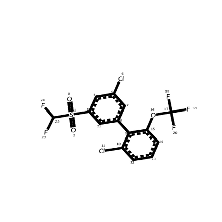 O=S(=O)(c1cc(Cl)cc(-c2c(Cl)c[c]cc2OC(F)(F)F)c1)C(F)F